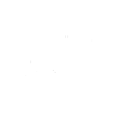 CC(C)c1cccc(N2CCC(C)(F)C2)c1